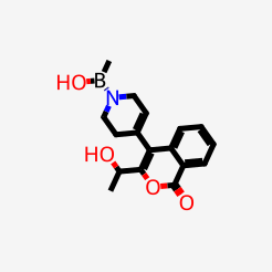 CB(O)N1CC=C(c2c(C(C)O)oc(=O)c3ccccc23)CC1